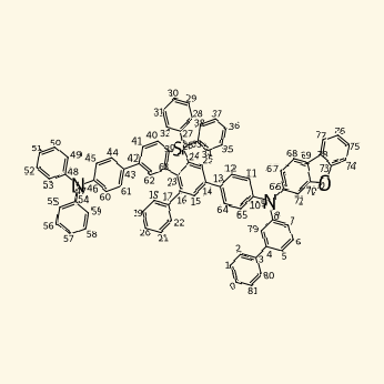 c1ccc(-c2cccc(N(c3ccc(-c4cc(-c5ccccc5)c5c(c4)[Si](c4ccccc4)(c4ccccc4)c4ccc(-c6ccc(N(c7ccccc7)c7ccccc7)cc6)cc4-5)cc3)c3ccc4c(c3)oc3ccccc34)c2)cc1